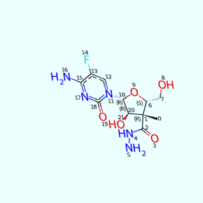 C[C@]1(C(=O)NN)[C@@H](CO)O[C@@H](n2cc(F)c(N)nc2=O)[C@@H]1O